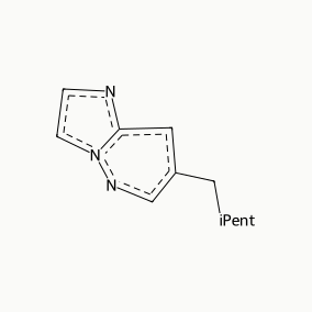 CCCC(C)Cc1cnn2ccnc2c1